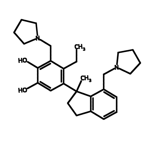 CCc1c(C2(C)CCc3cccc(CN4CCCC4)c32)cc(O)c(O)c1CN1CCCC1